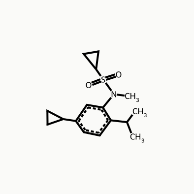 CC(C)c1ccc(C2CC2)cc1N(C)S(=O)(=O)C1CC1